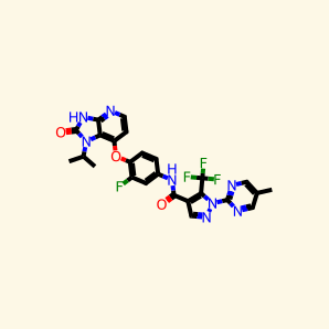 Cc1cnc(-n2ncc(C(=O)Nc3ccc(Oc4ccnc5[nH]c(=O)n(C(C)C)c45)c(F)c3)c2C(F)(F)F)nc1